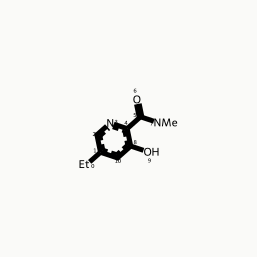 CCc1cnc(C(=O)NC)c(O)c1